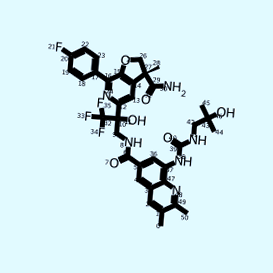 Cc1cc2cc(C(=O)NCC(O)(c3cc4c(c(-c5ccc(F)cc5)n3)OC[C@]4(C)C(N)=O)C(F)(F)F)cc(NC(=O)NCC(C)(C)O)c2nc1C